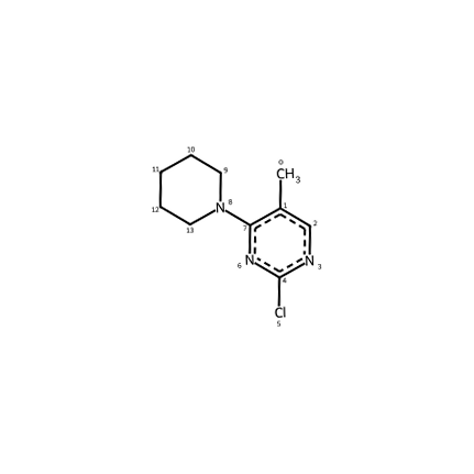 Cc1cnc(Cl)nc1N1CCCCC1